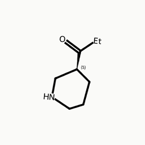 CCC(=O)[C@H]1CCCNC1